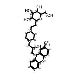 OCC1OC(CCN2CCN(CC(O)CN3c4ccccc4Sc4ccc(C(F)(F)F)cc43)CC2)C(O)C(O)C1O